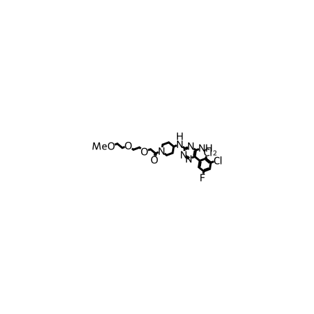 COCCOCCOCC(=O)N1CCC(Nc2nnc(-c3cc(F)cc(Cl)c3Cl)c(N)n2)CC1